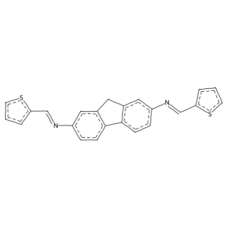 C(=Nc1ccc2c(c1)Cc1cc(N=Cc3cccs3)ccc1-2)c1cccs1